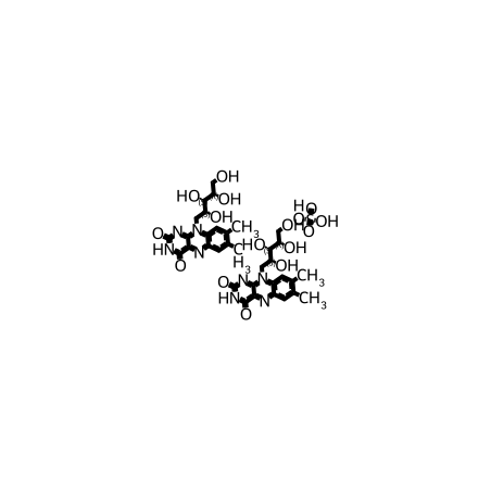 Cc1cc2nc3c(=O)[nH]c(=O)nc-3n(C[C@H](O)[C@H](O)[C@H](O)CO)c2cc1C.Cc1cc2nc3c(=O)[nH]c(=O)nc-3n(C[C@H](O)[C@H](O)[C@H](O)CO)c2cc1C.O=S(=O)(O)O